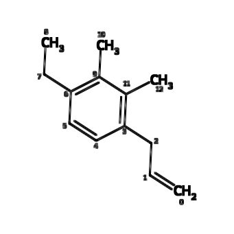 C=CCc1ccc(CC)c(C)c1C